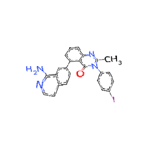 Cc1nc2cccc(-c3ccc4ccnc(N)c4c3)c2c(=O)n1-c1ccc(I)cc1